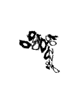 COCn1ccs/c1=N\c1cccc(C[C@]2(C(=O)OC(C)(C)C)CC[C@@H](O[Si](c3ccccc3)(c3ccccc3)C(C)(C)C)CC2)n1